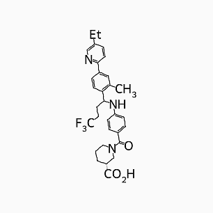 CCc1ccc(-c2ccc(C(CCC(F)(F)F)Nc3ccc(C(=O)N4CCC[C@@H](C(=O)O)C4)cc3)c(C)c2)nc1